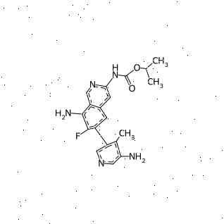 Cc1c(N)cncc1-c1cc2cc(NC(=O)OC(C)C)ncc2c(N)c1F